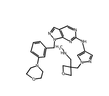 CNCC1(Cn2cc(Nc3ncc4cnn(Cc5cccc(N6CCOCC6)c5)c4n3)cn2)COC1